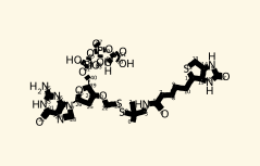 CC(C)(CNC(=O)CCCCC1SCC2NC(=O)NC21)SSCOC1C[C@H](n2cnc3c(=O)[nH]c(N)nc32)O[C@@H]1COP(=O)(O)OP(=O)(O)OP(=O)(O)O